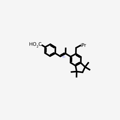 C/C(=C\c1ccc(C(=O)O)cc1)c1cc2c(cc1CC(C)C)C(C)(C)CC2(C)C